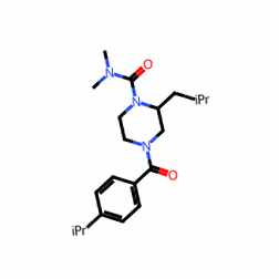 CC(C)CC1CN(C(=O)c2ccc(C(C)C)cc2)CCN1C(=O)N(C)C